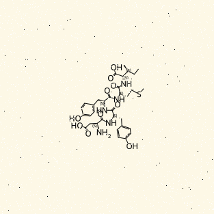 CC[C@H](C)[C@H](NC(=O)[C@H](CCSC)NC(=O)[C@H](Cc1ccc(O)cc1)NC(=O)[C@H](Cc1ccc(O)cc1)NC(=O)[C@@H](N)CC(=O)O)C(=O)O